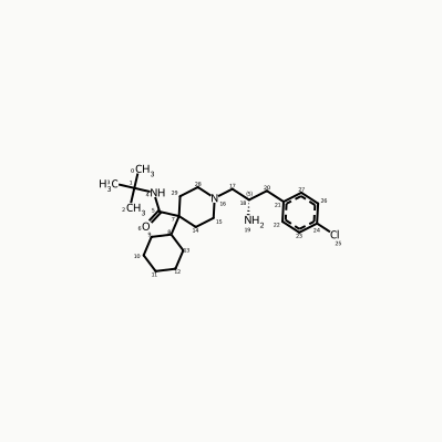 CC(C)(C)NC(=O)C1(C2CCCCC2)CCN(C[C@@H](N)Cc2ccc(Cl)cc2)CC1